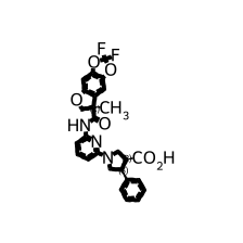 C[C@]1(C(=O)Nc2cccc(N3C[C@H](C(=O)O)[C@@H](c4ccccc4)C3)n2)COc2cc3c(cc21)OC(F)(F)O3